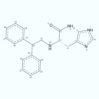 NC(=O)[C@H](Cc1c[nH]cn1)NCC(c1ccccc1)c1ccccc1